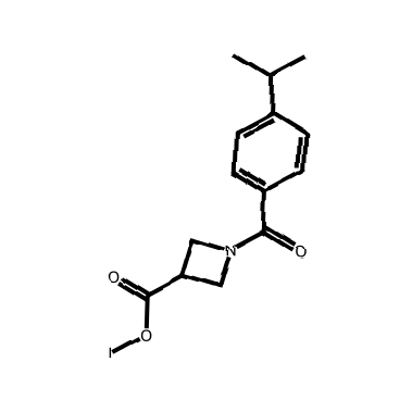 CC(C)c1ccc(C(=O)N2CC(C(=O)OI)C2)cc1